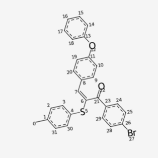 Cc1ccc(SC(=Cc2ccc(Oc3ccccc3)cc2)C(=O)c2ccc(Br)cc2)cc1